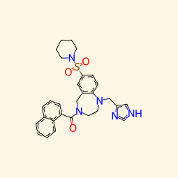 O=C(c1cccc2ccccc12)N1CCN(Cc2c[nH]cn2)c2ccc(S(=O)(=O)N3CCCCC3)cc2C1